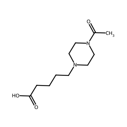 CC(=O)N1CCN(CCCCC(=O)O)CC1